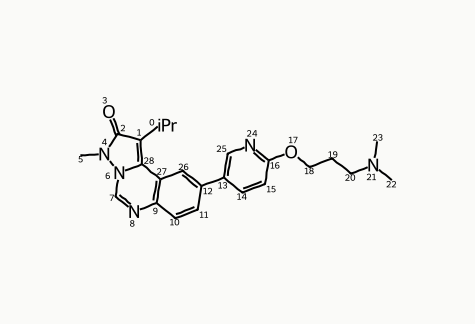 CC(C)c1c(=O)n(C)n2cnc3ccc(-c4ccc(OCCCN(C)C)nc4)cc3c12